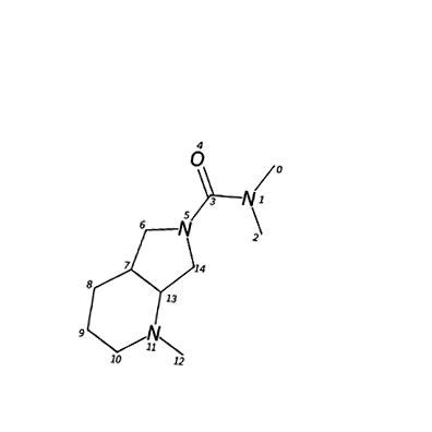 CN(C)C(=O)N1CC2CCCN(C)C2C1